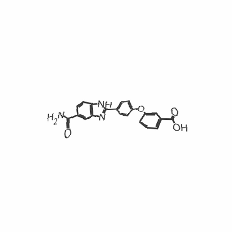 NC(=O)c1ccc2[nH]c(-c3ccc(Oc4cccc(C(=O)O)c4)cc3)nc2c1